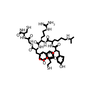 CC(=O)NC(CCS)C(=O)NC(Cc1ccc(O)cc1)C(=O)NC(CCCCNC(C)C)C(=O)N[C@H](CCCNC(=N)N)C(=O)NC(Cc1ccc2ccccc2c1)C(=O)NCC(=O)NC(CS)C(N)=O